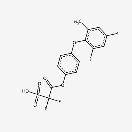 Cc1cc(I)cc(I)c1Oc1ccc(OC(=O)C(F)(F)S(=O)(=O)O)cc1